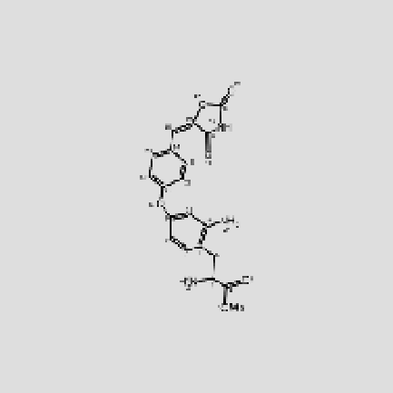 COC(=O)C(N)Cc1ccc(Oc2ccc(C=C3OC(=O)NC3=O)cc2)cc1N